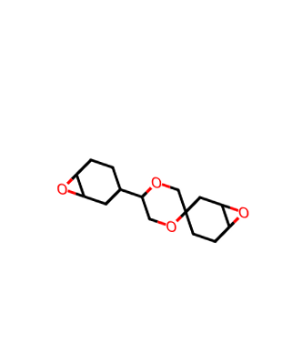 C1CC2OC2CC1C1COC2(CCC3OC3C2)CO1